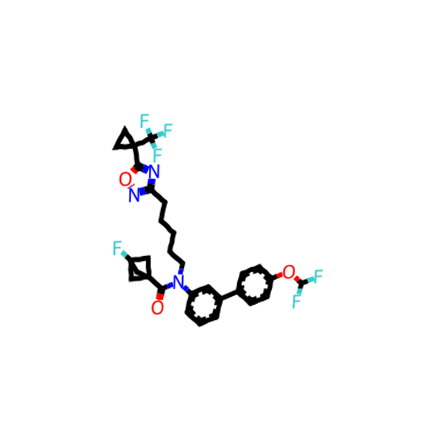 O=C(N(CCCCCc1noc(C2(C(F)(F)F)CC2)n1)c1cccc(-c2ccc(OC(F)F)cc2)c1)C12CC(F)(C1)C2